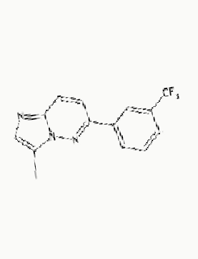 FC(F)(F)c1[c]ccc(-c2ccc3ncc(I)n3n2)c1